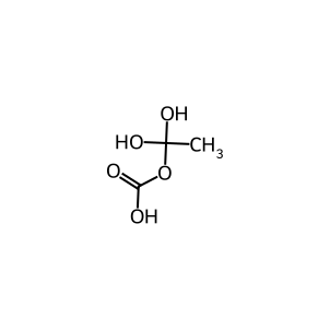 CC(O)(O)OC(=O)O